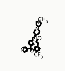 CN1CCC(N2CCC(N(Cc3ccc(C(=O)c4ccncc4)cc3)C(=O)C=Cc3ccc(C(F)(F)F)cc3)CC2)CC1